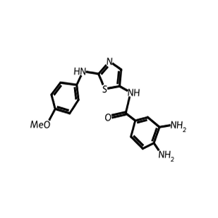 COc1ccc(Nc2ncc(NC(=O)c3ccc(N)c(N)c3)s2)cc1